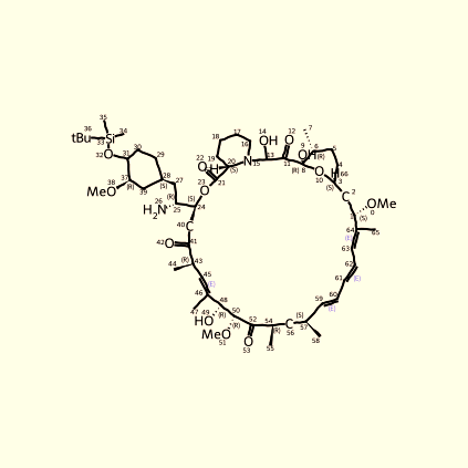 CO[C@H]1C[C@@H]2CC[C@@H](C)[C@@](O)(O2)C(=O)C(O)N2CCCC[C@H]2C(=O)O[C@H]([C@H](N)C[C@@H]2CCC(O[Si](C)(C)C(C)(C)C)[C@H](OC)C2)CC(=O)[C@H](C)/C=C(\C)[C@@H](O)[C@@H](OC)C(=O)[C@H](C)C[C@H](C)/C=C/C=C/C=C/1C